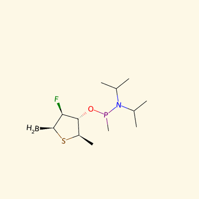 B[C@@H]1S[C@H](C)[C@@H](OP(C)N(C(C)C)C(C)C)[C@@H]1F